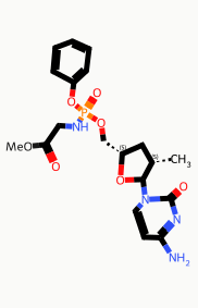 COC(=O)CNP(=O)(OC[C@@H]1C[C@H](C)C(n2ccc(N)nc2=O)O1)Oc1ccccc1